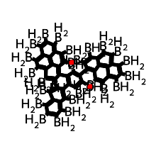 Bc1c(B)c(-c2c(B)c(B)c3c(B)c(B)c(B)c(B)c3c2B)c(-c2c(B)c(B)c3c(B)c(B)c4c(B)c(B)c(B)c5c(B)c(B)c2c3c45)c(B)c1-c1c(B)c(B)c2c(B)c(B)c3c(B)c(B)c(B)c4c(B)c(B)c1c2c34